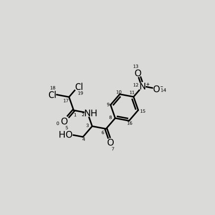 O=C(NC(CO)C(=O)c1ccc([N+](=O)[O-])cc1)C(Cl)Cl